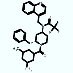 CC1CC(C)CC(C(=O)N2CC[C@H](N(Cc3ccnc4ccccc34)C(=O)C(F)(F)F)C[C@H]2Cc2ccccc2)C1